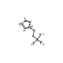 FC(F)(F)C[CH]n1ccnc1